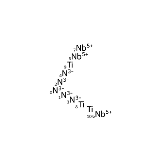 [N-3].[N-3].[N-3].[N-3].[N-3].[Nb+5].[Nb+5].[Nb+5].[Ti].[Ti].[Ti]